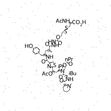 CCCC(=O)OCN(C(=O)[C@@H](NC(=O)[C@H]1CCCCN1C)C(C)CC)[C@H](C[C@@H](OC(C)=O)c1nc(C(=O)N[C@@H](Cc2ccc(O)cc2)C[C@H](C)C(=O)NNC(=O)OCCSSC[C@@H](NC(C)=O)C(=O)O)cs1)C(C)C